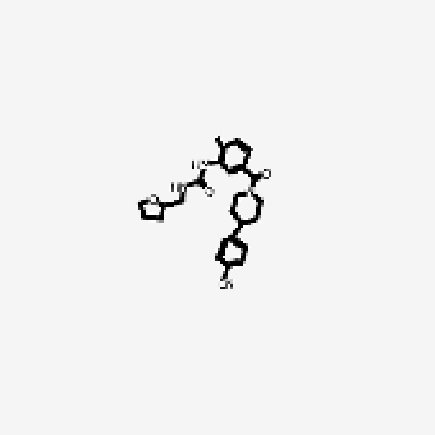 Cc1ccc(C(=O)N2CCC(c3ccc(C#N)cc3)CC2)cc1NC(=O)NCC1CCCO1